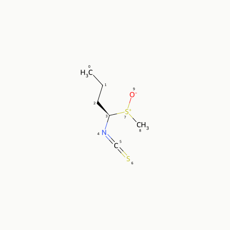 CCC[C@H](N=C=S)[S+](C)[O-]